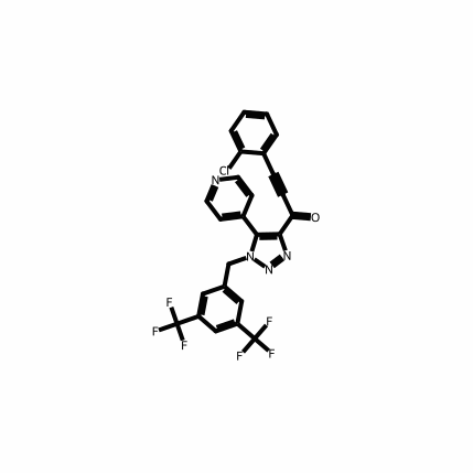 O=C(C#Cc1ccccc1Cl)c1nnn(Cc2cc(C(F)(F)F)cc(C(F)(F)F)c2)c1-c1ccncc1